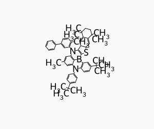 Cc1cc2c3c(c1)N(c1ccc(C(C)(C)C)cc1)c1ccc(C(C)(C)C)cc1B3C1=C(C3C=C4C(=CC3S1)C(C)(C)CCC4(C)C)N2c1cc(-c2ccccc2)ccc1C